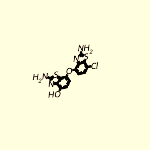 Nc1nc2c(Oc3ccc(O)c4nc(N)sc34)ccc(Cl)c2s1